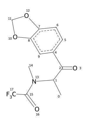 CC(C(=O)c1ccc2c(c1)OCO2)N(C)C(=O)C(F)(F)F